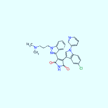 CN(C)CCCn1nc(C2=C(c3cn(-c4cccnc4)c4ccc(Cl)cc34)C(=O)NC2=O)c2ccccc21